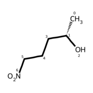 C[C@H](O)CCC[N+](=O)[O-]